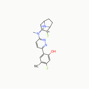 CN(c1ccc(-c2cc(C#N)c(F)cc2O)nn1)[C@H]1CC2CCC(N2)[C@H]1F